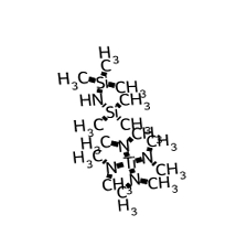 C[N](C)[Ti]([N](C)C)([N](C)C)[N](C)C.C[Si](C)(C)N[Si](C)(C)C